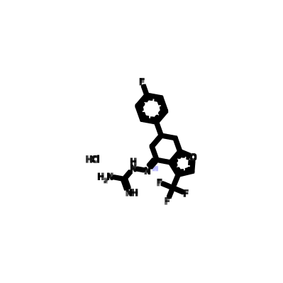 Cl.N=C(N)N/N=C1\CC(c2ccc(F)cc2)Cc2occ(C(F)(F)F)c21